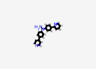 NN(c1ccc(-c2ccncc2)cc1)c1ccc(-c2ccccn2)cc1